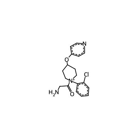 NCC(=O)[N+]1(c2ccccc2Cl)CCC(Oc2ccncc2)CC1